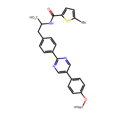 CCCCCCCOc1ccc(-c2cnc(-c3ccc(CC(NC(=O)c4ccc(C(C)(C)C)s4)C(=O)O)cc3)nc2)cc1